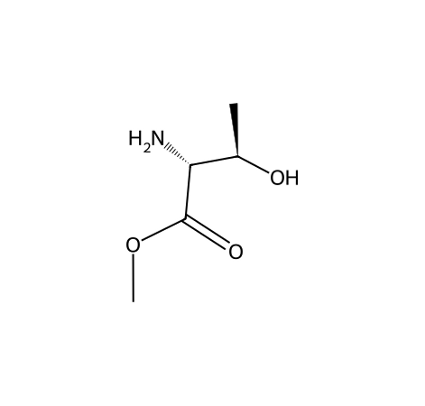 COC(=O)[C@H](N)[C@@H](C)O